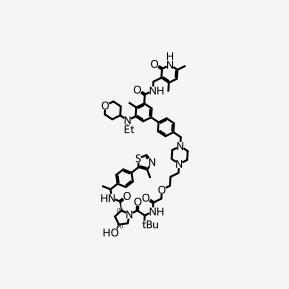 CCN(c1cc(-c2ccc(CN3CCN(CCCOCC(=O)NC(C(=O)N4C[C@H](O)C[C@H]4C(=O)NC(C)c4ccc(-c5scnc5C)cc4)C(C)(C)C)CC3)cc2)cc(C(=O)NCc2c(C)cc(C)[nH]c2=O)c1C)C1CCOCC1